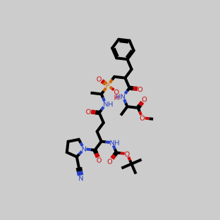 COC(=O)C(C)NC(=O)C(Cc1ccccc1)CP(=O)(O)C(C)NC(=O)CCC(NC(=O)OC(C)(C)C)C(=O)N1CCCC1C#N